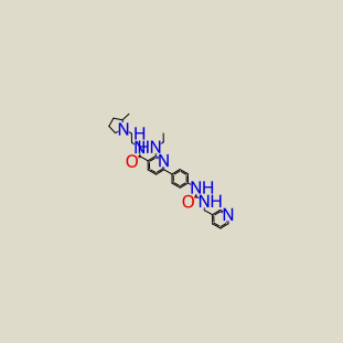 CCNc1nc(-c2ccc(NC(=O)NCc3cccnc3)cc2)ccc1C(=O)NCCN1CCCC1C